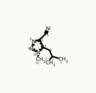 CC(C)Cc1c(C#N)nnn1C